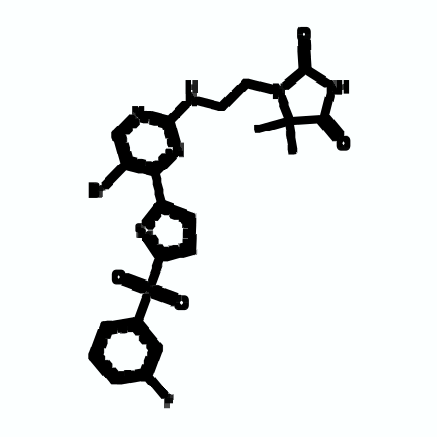 CC1(C)C(=O)NC(=O)N1CCNc1ncc(Br)c(-c2ccc(S(=O)(=O)c3cccc(F)c3)s2)n1